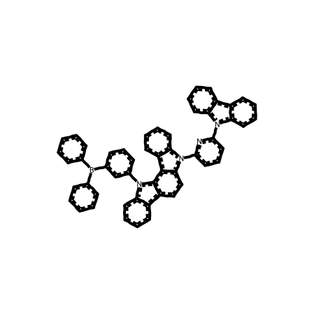 c1ccc(B(c2ccccc2)c2cccc(-n3c4ccccc4c4ccc5c(c6ccccc6n5-c5cccc(-n6c7ccccc7c7ccccc76)n5)c43)c2)cc1